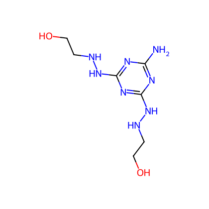 Nc1nc(NNCCO)nc(NNCCO)n1